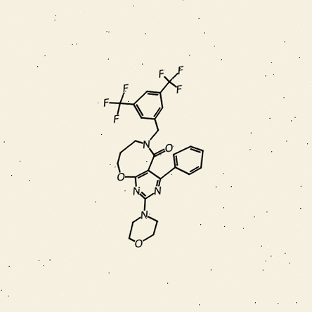 O=C1c2c(nc(N3CCOCC3)nc2-c2ccccc2)OCCCN1Cc1cc(C(F)(F)F)cc(C(F)(F)F)c1